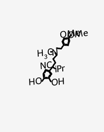 COc1ccc(CCN(C)CCCC(C#N)(c2ccc(CO)c(CO)c2)C(C)C)cc1OC